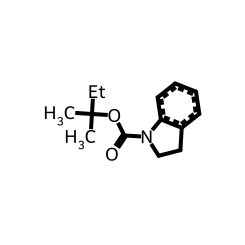 CCC(C)(C)OC(=O)N1CCc2ccccc21